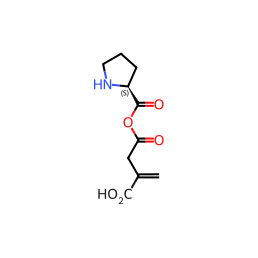 C=C(CC(=O)OC(=O)[C@@H]1CCCN1)C(=O)O